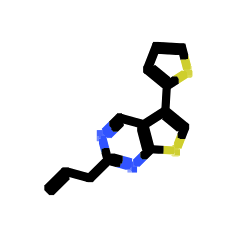 C=CCc1n[c]c2c(-c3cccs3)csc2n1